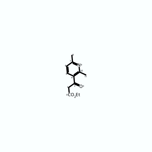 CCOC(=O)CC(=O)c1ccc(C)nc1C